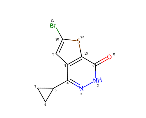 O=c1[nH]nc(C2CC2)c2cc(Br)sc12